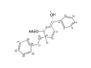 COC1C=C(C(O)c2ccccc2)C=CC1(C)OCc1ccccc1